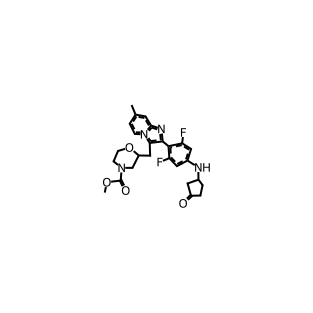 COC(=O)N1CCOC(Cc2c(-c3c(F)cc(NC4CCC(=O)C4)cc3F)nc3cc(C)ccn23)C1